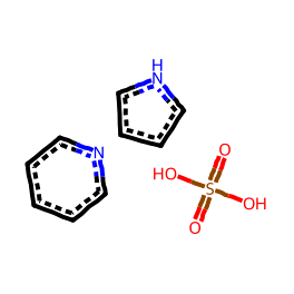 O=S(=O)(O)O.c1cc[nH]c1.c1ccncc1